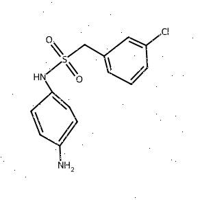 Nc1ccc(NS(=O)(=O)Cc2cccc(Cl)c2)cc1